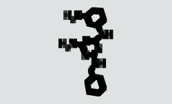 Nc1cccc(Nc2nc(N)nc(NCc3ccccc3)n2)c1